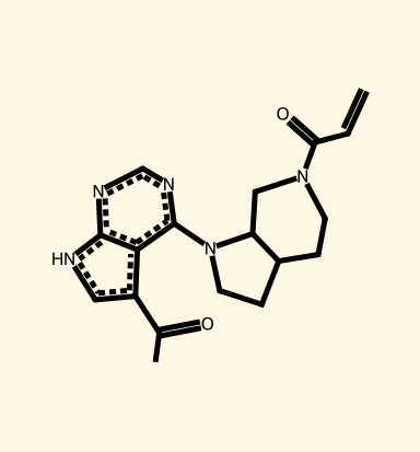 C=CC(=O)N1CCC2CCN(c3ncnc4[nH]cc(C(C)=O)c34)C2C1